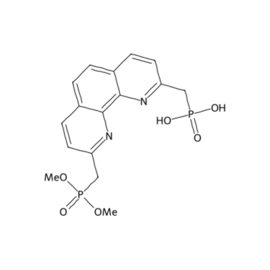 COP(=O)(Cc1ccc2ccc3ccc(CP(=O)(O)O)nc3c2n1)OC